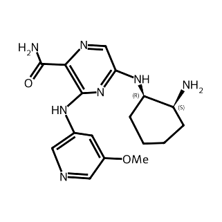 COc1cncc(Nc2nc(N[C@@H]3CCCC[C@@H]3N)cnc2C(N)=O)c1